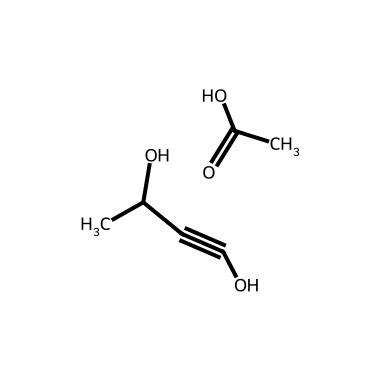 CC(=O)O.CC(O)C#CO